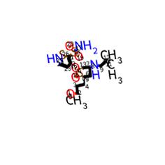 COCCC[C@@H]1CC(NCC(C)C)CS1(=O)=O.NS(=O)(=O)C1=CC=CNS1